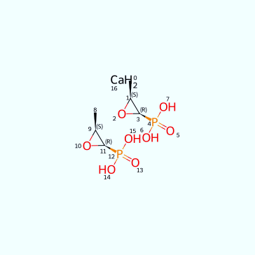 C[C@@H]1O[C@@H]1P(=O)(O)O.C[C@@H]1O[C@@H]1P(=O)(O)O.[CaH2]